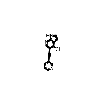 Clc1c(C#Cc2cccnc2)cnc2[nH]ccc12